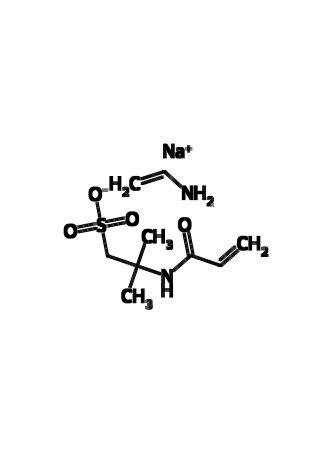 C=CC(=O)NC(C)(C)CS(=O)(=O)[O-].C=CN.[Na+]